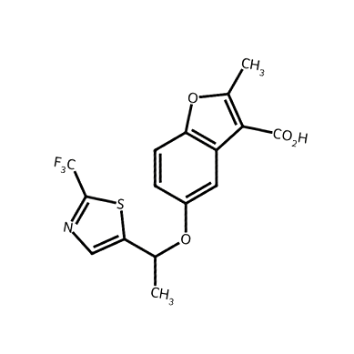 Cc1oc2ccc(OC(C)c3cnc(C(F)(F)F)s3)cc2c1C(=O)O